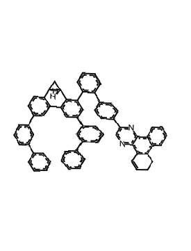 C1=Cc2c(c3ccccc3c3nc(-c4ccc(-c5ccccc5-c5cc(-c6cccc(-c7ccccc7)c6)cc6c5[C@H]5C[C@H]5c5ccc(-c7cccc(-c8ccccc8)c7)cc5-6)cc4)cnc23)CC1